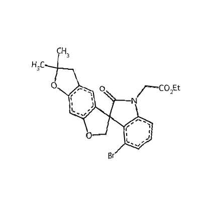 CCOC(=O)CN1C(=O)C2(COc3cc4c(cc32)CC(C)(C)O4)c2c(Br)cccc21